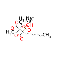 CCCCCCC(C(=O)[O-])(C(CC)(CC)C(=O)[O-])S(=O)(=O)O.[Na+].[Na+]